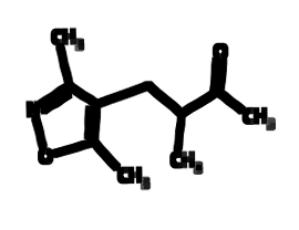 CC(=O)C(C)Cc1c(C)noc1C